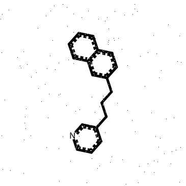 c1cncc(CCCc2ccc3ccccc3c2)c1